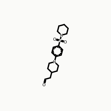 O=CCC1CCN(c2ccc(S(=O)(=O)N3CCCCC3)cc2)CC1